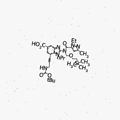 CCCn1c(N(COCC[Si](C)(C)C)C(=O)c2cc(C)nn2CC)nc2cc(C(=O)O)cc(C#CCNC(=O)OC(C)(C)C)c21